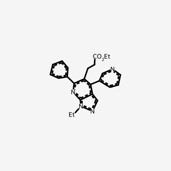 CCOC(=O)CCc1c(-c2ccccc2)nc2c(cnn2CC)c1-c1cccnc1